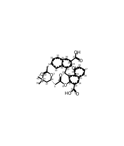 CC(=O)O[C@H](CC(=O)Oc1c(C(=O)O)cc2ccccc2c1Cc1c(O)c(C(=O)O)cc2ccccc12)C[N+](C)(C)C